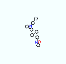 c1ccc(-c2ccc(-n3c4ccccc4c4cc(-c5ccccc5-c5ccccc5-c5ccc(-c6nc7ccccc7o6)cc5)ccc43)cc2)cc1